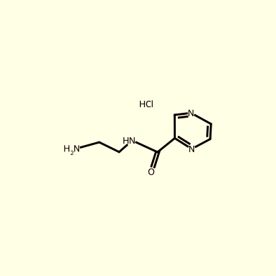 Cl.NCCNC(=O)c1cnccn1